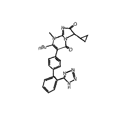 CCCCC1=C(c2ccc(-c3ccccc3-c3nnn[nH]3)cc2)C(=O)N2C(=NC(=O)C2C2CC2)N1C